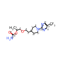 CC(COCCC1CCN(c2ncc(C(F)(F)F)cn2)CC1)OC(N)=O